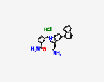 Cl.NCCc1cn(Cc2cccc(C(N)=O)c2)c2ccc(-c3cccc4ccccc34)cc12